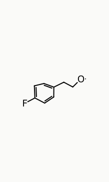 [O]CCc1ccc(F)cc1